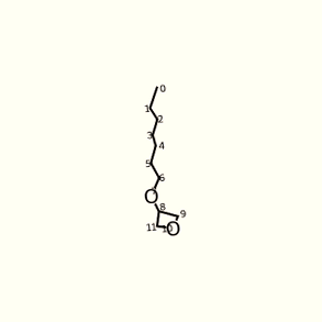 CCCCCCCOC1COC1